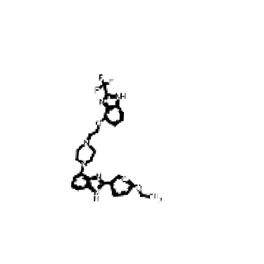 CCOc1ccc(-c2nc3c(N4CCN(CCOc5cccc6[nH]c(C(F)(F)F)nc56)CC4)cccc3[nH]2)cc1